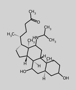 CC(=O)CC[C@@H](C)[C@H]1CC[C@H]2[C@@H]3C(O)C[C@@H]4CC(O)CC[C@]4(C)[C@H]3CC(NC(C)C)[C@]12C